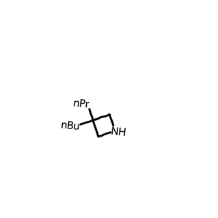 CCCCC1(CCC)CNC1